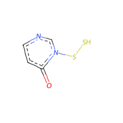 O=c1ccncn1SS